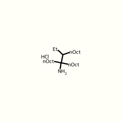 CCCCCCCCC(CC)C(N)(CCCCCCCC)CCCCCCCC.Cl